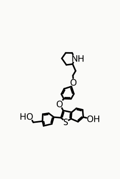 OCc1ccc(-c2sc3cc(O)ccc3c2Oc2ccc(OCCC3CCCCN3)cc2)cc1